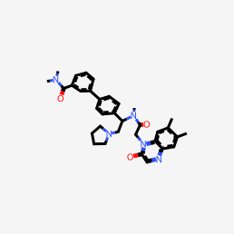 Cc1cc2ncc(=O)n(CC(=O)N(C)C(CN3CCCC3)c3ccc(-c4cccc(C(=O)N(C)C)c4)cc3)c2cc1C